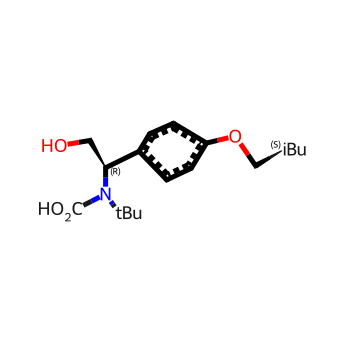 CC[C@H](C)COc1ccc([C@H](CO)N(C(=O)O)C(C)(C)C)cc1